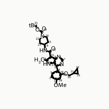 COc1ccc(-c2ncnc3c(C(=O)NC4CCN(C(=O)OC(C)(C)C)CC4)c(C)[nH]c23)c(OCC2CC2)c1